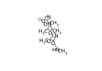 CNCCCOc1cc2nccc(Oc3c(C)cc(N(C)C(=O)c4cnccc4OC4CCC4)cc3C)c2cc1OC